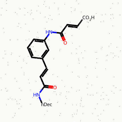 CCCCCCCCCCNC(=O)C=Cc1cccc(NC(=O)C=CC(=O)O)c1